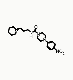 O=C(NCCCN1CCCCC1)N1CCN(c2ccc([N+](=O)[O-])cc2)CC1